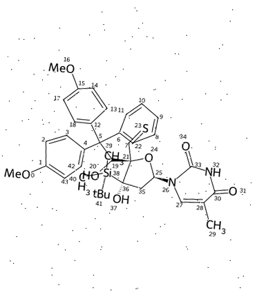 COc1ccc(C(c2ccccc2)(c2ccc(OC)cc2)C(O)[C@@]2(C=S)O[C@@H](n3cc(C)c(=O)[nH]c3=O)C[C@@]2(O)[Si](C)(C)C(C)(C)C)cc1